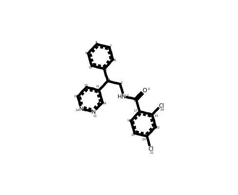 O=C(NCC(c1ccccc1)c1ccnnc1)c1ccc(Cl)cc1Cl